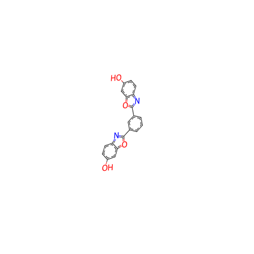 Oc1ccc2nc(-c3cccc(-c4nc5ccc(O)cc5o4)c3)oc2c1